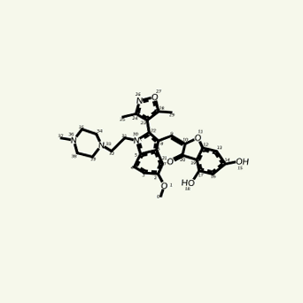 COc1ccc2c(c1)c(C=C1Oc3cc(O)cc(O)c3C1=O)c(-c1c(C)noc1C)n2CCN1CCN(C)CC1